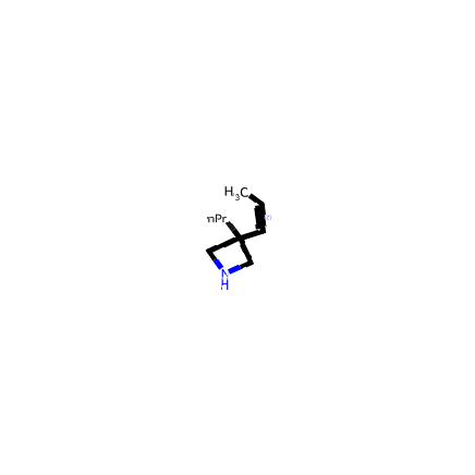 C/C=C\C1(CCC)CNC1